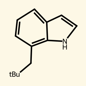 CC(C)(C)Cc1cccc2cc[nH]c12